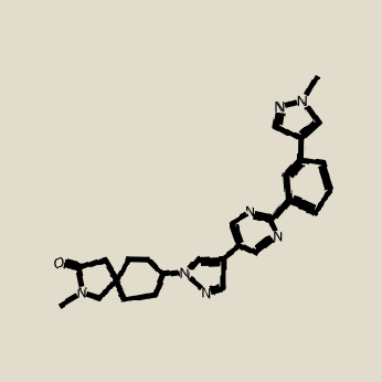 CN1CC2(CCC(n3cc(-c4cnc(-c5cccc(-c6cnn(C)c6)c5)nc4)cn3)CC2)CC1=O